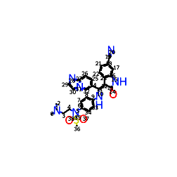 CN(C)CCN(c1ccc(N/C(=C2\C(=O)Nc3cc(C#N)ccc32)c2ccc3nccn3c2)cc1)S(C)(=O)=O